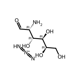 N[C@@H](C=O)[C@@H](O)[C@@H](O)[C@H](O)CO.[N-]=[N+]=N